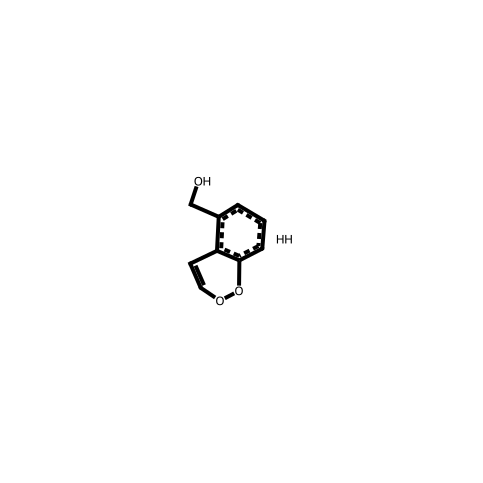 OCc1cccc2c1C=COO2.[HH]